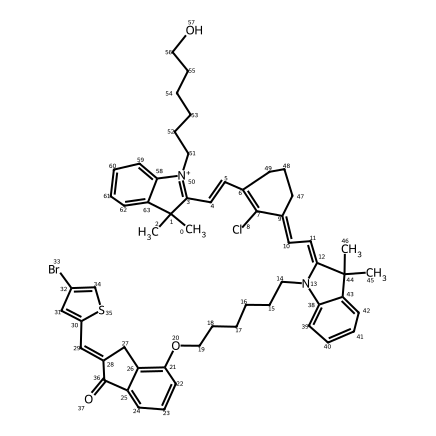 CC1(C)C(/C=C/C2=C(Cl)C(=C/C=C3\N(CCCCCCOc4cccc5c4C/C(=C\c4cc(Br)cs4)C5=O)c4ccccc4C3(C)C)/CCC2)=[N+](CCCCCCO)c2ccccc21